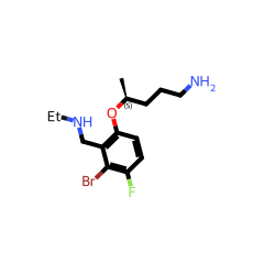 CCNCc1c(O[C@@H](C)CCCN)ccc(F)c1Br